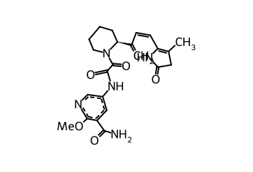 C=C(/C=C\C1=C(C)CC(=O)N1)[C@@H]1CCCCN1C(=O)C(=O)Nc1cnc(OC)c(C(N)=O)c1